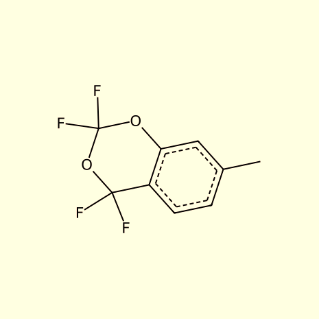 Cc1ccc2c(c1)OC(F)(F)OC2(F)F